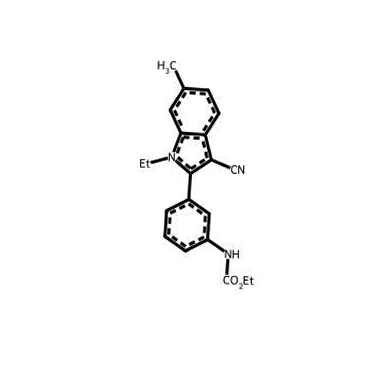 CCOC(=O)Nc1cccc(-c2c(C#N)c3ccc(C)cc3n2CC)c1